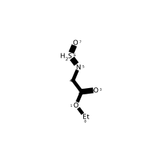 CCOC(=O)CN=[SH2]=O